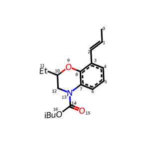 CC=Cc1cccc2c1OC(CC)CN2C(=O)OCC(C)C